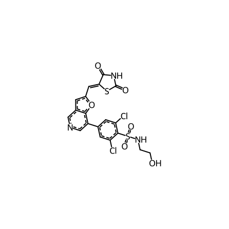 O=C1NC(=O)C(=Cc2cc3cncc(-c4cc(Cl)c(S(=O)(=O)NCCO)c(Cl)c4)c3o2)S1